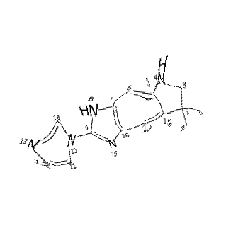 CC1(C)CNc2cc3[nH]c(-n4ccnc4)nc3cc21